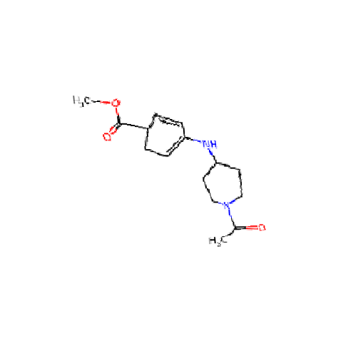 COC(=O)C1C=CC(NC2CCN(C(C)=O)CC2)=CC1